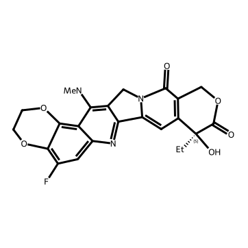 CC[C@@]1(O)C(=O)OCc2c1cc1n(c2=O)Cc2c-1nc1cc(F)c3c(c1c2NC)OCCO3